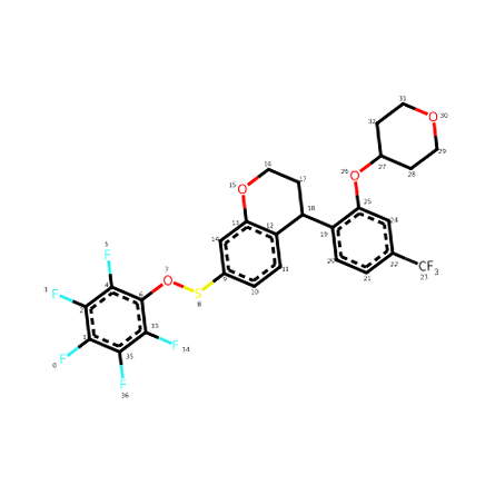 Fc1c(F)c(F)c(OSc2ccc3c(c2)OCCC3c2ccc(C(F)(F)F)cc2OC2CCOCC2)c(F)c1F